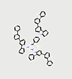 c1ccc2c(c1)sc1ccc(-c3ccc4c(c3)c3ccccc3n4C3=NC(n4c5ccccc5c5cc(-c6ccc7sc8ccccc8c7c6)ccc54)NC(c4ccc(-n5c6ccccc6c6cc(-c7ccc8sc9ccccc9c8c7)ccc65)cc4)=N3)cc12